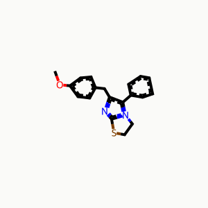 COc1ccc(Cc2nc3n(c2-c2ccccc2)CCS3)cc1